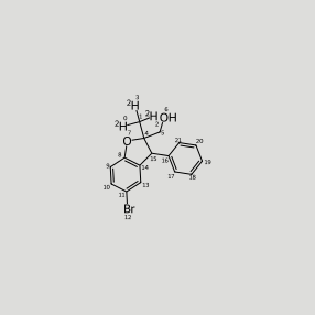 [2H]C([2H])([2H])C1(CO)Oc2ccc(Br)cc2C1c1ccccc1